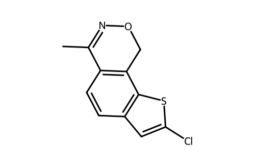 CC1=NOCc2c1ccc1cc(Cl)sc21